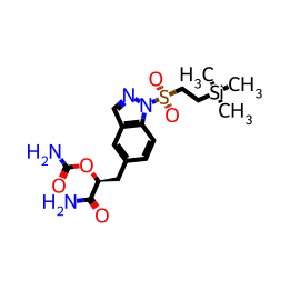 C[Si](C)(C)CCS(=O)(=O)n1ncc2cc(C[C@H](OC(N)=O)C(N)=O)ccc21